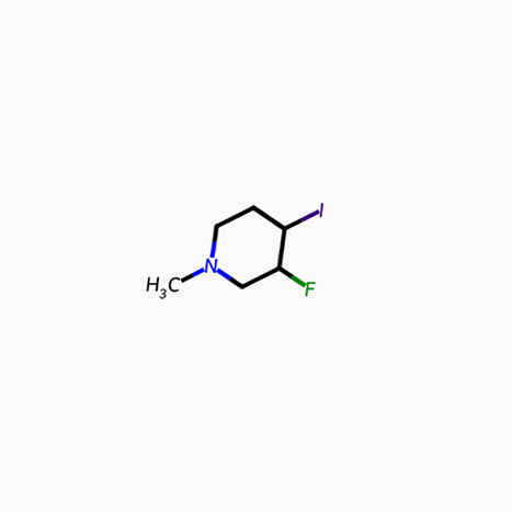 CN1CCC(I)C(F)C1